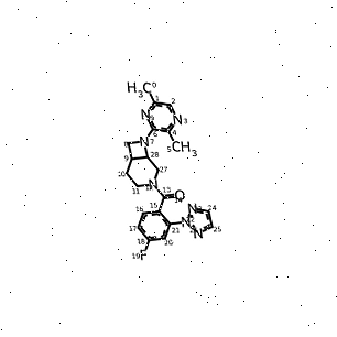 Cc1cnc(C)c(N2CC3CCN(C(=O)c4ccc(F)cc4-n4nccn4)CC32)n1